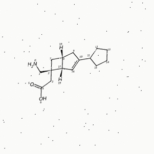 NC[C@@]1(CC(=O)O)C[C@@H]2CC(C3CCCC3)=C[C@@H]21